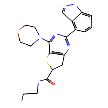 COCCNC(=O)C1Cc2nc(-c3cccc4[nH]ncc34)nc(N3CCOCC3)c2S1